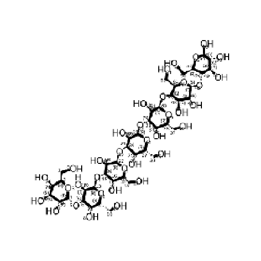 OC[C@H]1O[C@H](O[C@H]2[C@@H](O)[C@@H](CO)O[C@H](O[C@H]3[C@@H](O)[C@@H](CO)O[C@H](O[C@H]4[C@@H](O)[C@@H](CO)O[C@H](O[C@H]5[C@@H](O)[C@@H](CO)O[C@H](O[C@@H]6[C@H](O)[C@@H](O)[C@H](O[C@H]7[C@H](O)[C@@H](O)[C@H](O)O[C@@H]7CO)O[C@@H]6CO)[C@@H]5O)[C@@H]4O)[C@@H]3O)[C@@H]2O)[C@H](O)[C@@H](O)[C@H]1O